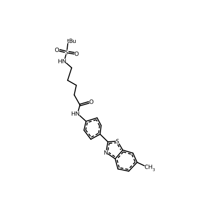 Cc1ccc2nc(-c3ccc(NC(=O)CCCCNS(=O)(=O)C(C)(C)C)cc3)sc2c1